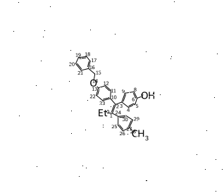 CC/C(=C(/c1ccc(O)cc1)c1ccc(OCc2ccccc2)cc1)c1ccc(C)cc1